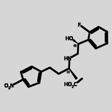 CC(=O)O.C[C@@H](CCc1ccc([N+](=O)[O-])cc1)NC[C@H](O)c1ccccc1F